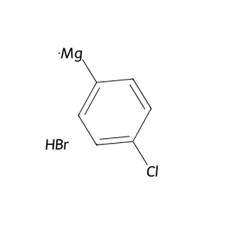 Br.[Mg][c]1ccc(Cl)cc1